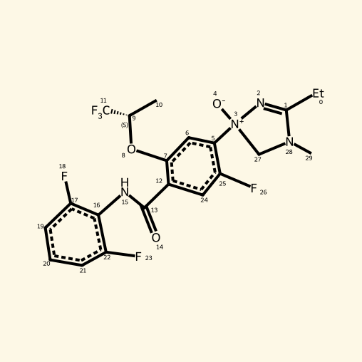 CCC1=N[N+]([O-])(c2cc(O[C@@H](C)C(F)(F)F)c(C(=O)Nc3c(F)cccc3F)cc2F)CN1C